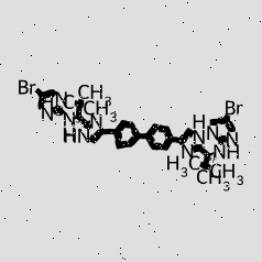 CC(C)(C)[C@H](Nc1ncc(Br)cn1)c1nc(-c2ccc(-c3ccc(-c4c[nH]c([C@@H](Nc5ncc(Br)cn5)C(C)(C)C)n4)cc3)cc2)c[nH]1